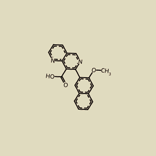 COc1cc2ccccc2cc1-c1ncc2cccnc2c1C(=O)O